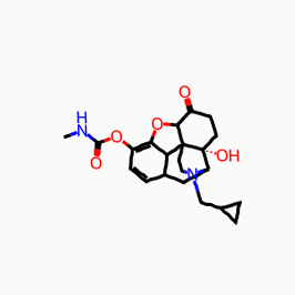 CNC(=O)OC1=C2OC3C(=O)CC[C@@]4(O)C5CC(C=C1)C2C34CCN5CC1CC1